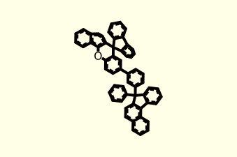 c1ccc(C2(c3cccc(-c4ccc5c(c4)C4(c6ccccc6-c6ccccc64)c4ccc6ccccc6c4O5)c3)c3ccccc3-c3c2ccc2ccccc32)cc1